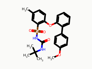 COc1ccc(-c2ccccc2Oc2ccc(C)cc2S(=O)(=O)NC(=O)NC(C)(C)C)cc1